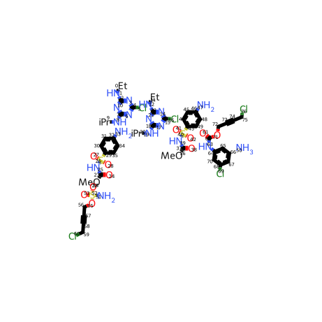 CCNc1nc(Cl)nc(NC(C)C)n1.CCNc1nc(Cl)nc(NC(C)C)n1.COC(=O)NS(=O)(=O)c1ccc(N)cc1.COC(=O)NS(=O)(=O)c1ccc(N)cc1.N.NS(=O)(=O)OCC#CCCl.O=C(Nc1cccc(Cl)c1)OCC#CCCl